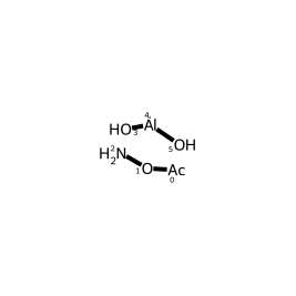 CC(=O)ON.[OH][Al][OH]